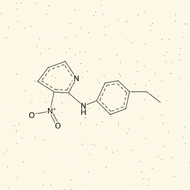 CCc1ccc(Nc2ncccc2[N+](=O)[O-])cc1